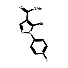 CNC(=O)c1cnn(-c2ccc(F)cc2)c1Br